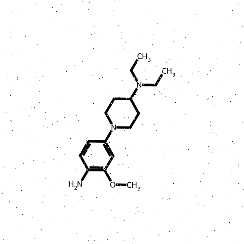 CCN(CC)C1CCN(c2ccc(N)c(OC)c2)CC1